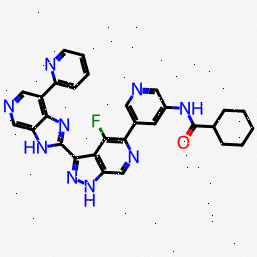 O=C(Nc1cncc(-c2ncc3[nH]nc(-c4nc5c(-c6ccccn6)cncc5[nH]4)c3c2F)c1)C1CCCCC1